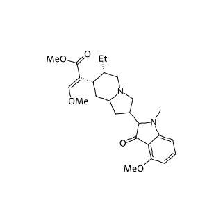 CC[C@@H]1CN2CC(C3C(=O)c4c(OC)cccc4N3C)CC2C[C@@H]1/C(=C\OC)C(=O)OC